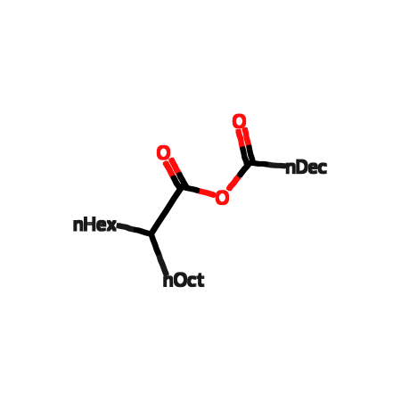 CCCCCCCCCCC(=O)OC(=O)C(CCCCCC)CCCCCCCC